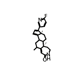 CC1CC2C3=CC=C(c4ccc(F)nc4)[C@@]3(C)CCC2[C@@]2(C)CCNC(=O)C=C12